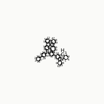 CC1C=CCCC1n1c2c(c3cc(-c4ccc(N(c5ccc(C6=CCCC=C6)cc5)c5ccc6c(c5)C5(C7=C(C=CCC=C7)C7=C5CCC=C7)c5ccccc5-6)cc4)ccc31)CCC=C2